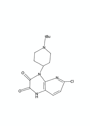 CC(C)(C)N1CCC(n2c(=O)c(=O)[nH]c3ccc(Cl)nc32)CC1